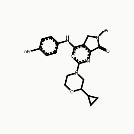 CCCc1ccc(Nc2nc(N3CCOC(C4CC4)C3)nc3c2CN(C(C)C)C3=O)cc1